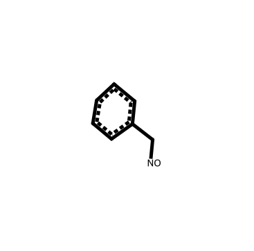 O=NCc1ccccc1